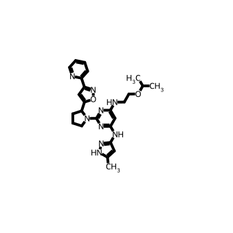 Cc1cc(Nc2cc(NCCOC(C)C)nc(N3CCCC3c3cc(-c4ccccn4)no3)n2)n[nH]1